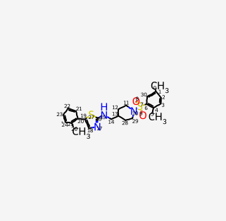 Cc1ccc(C)c(S(=O)(=O)N2CCC(CNc3ncc(-c4ccc[c]c4C)s3)CC2)c1